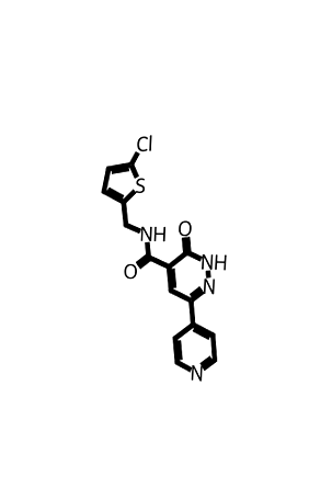 O=C(NCc1ccc(Cl)s1)c1cc(-c2ccncc2)n[nH]c1=O